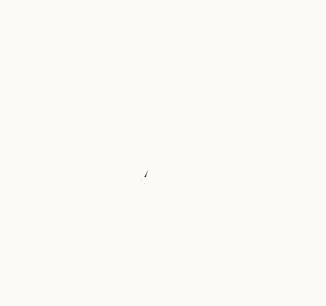 CCCN(C(C)C)[C@H]1COc2c(F)ccc(OC)c2C1